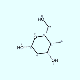 C[C@@H]1[C@H](O)C[C@H](O)O[C@@H]1CO